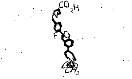 CS(=O)(=O)N1CCC(c2ccc3oc(-c4ccc(CN5CC(C(=O)O)C5)cc4F)cc3c2)CC1